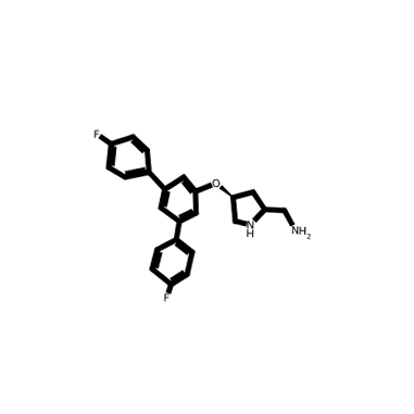 NCC1C[C@H](Oc2cc(-c3ccc(F)cc3)cc(-c3ccc(F)cc3)c2)CN1